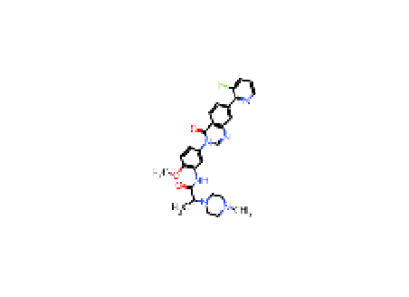 CC(C(=O)Nc1cc(-n2cnc3cc(-c4ncccc4F)ccc3c2=O)ccc1OC(F)(F)F)N1CCN(C)CC1